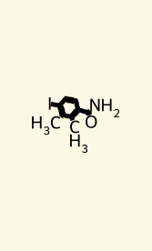 Cc1c(I)ccc(C(N)=O)c1C